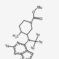 [2H]c1nc(N(C2CN(C(=O)OC(C)(C)C)CCC2C)C([2H])([2H])[2H])c2cc[nH]c2n1